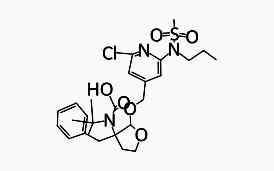 CCCN(c1cc(COC2OCCC2(Cc2ccccc2)N(C(=O)O)C(C)(C)C)cc(Cl)n1)S(C)(=O)=O